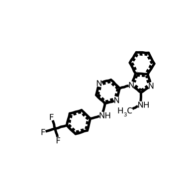 CNc1nc2ccccc2n1-c1cncc(Nc2ccc(C(F)(F)F)cc2)n1